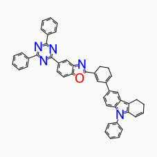 C1=Cc2c(c3cc(C4=CCCC(c5nc6cc(-c7nc(-c8ccccc8)nc(-c8ccccc8)n7)ccc6o5)=C4)ccc3n2-c2ccccc2)CC1